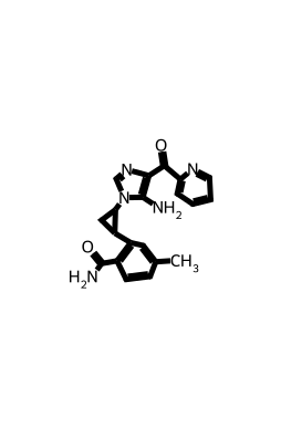 Cc1ccc(C(N)=O)c(C2CC2n2cnc(C(=O)c3ccccn3)c2N)c1